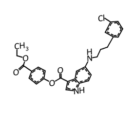 CCOC(=O)c1ccc(OC(=O)c2c[nH]c3ccc(NCCCc4cccc(Cl)c4)cc23)cc1